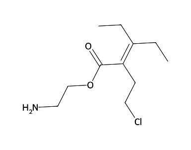 CCC(CC)=C(CCCl)C(=O)OCCN